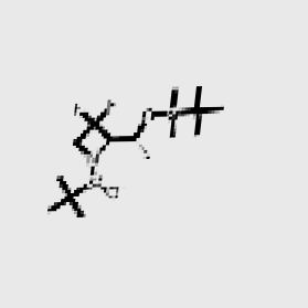 C[C@@H](O[Si](C)(C)C(C)(C)C)[C@H]1N([S@@+]([O-])C(C)(C)C)CC1(F)F